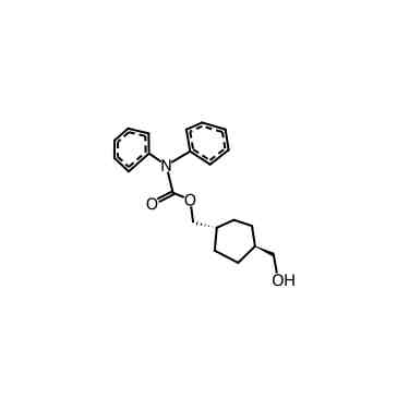 O=C(OC[C@H]1CC[C@H](CO)CC1)N(c1ccccc1)c1ccccc1